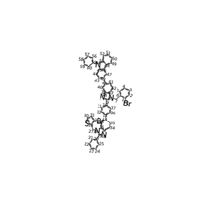 Brc1ccccc1Cn1c(-c2ccc(C3C=c4c(nc(-c5ccccc5)n4Cc4sccc4Br)=CC3)cc2)nc2cc(-c3ccc4c(c3)c3ccccc3n4-c3ccccc3)ccc21